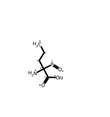 CCCC(N)(P=O)C(=O)O